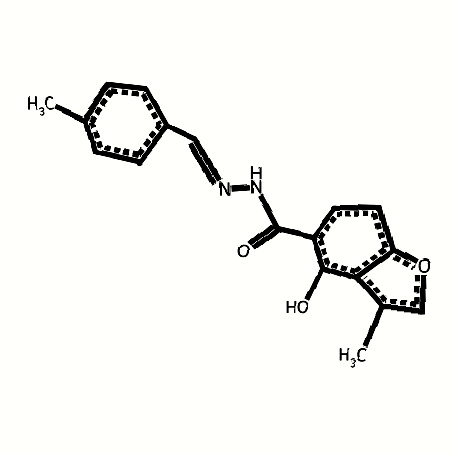 Cc1ccc(/C=N/NC(=O)c2ccc3occ(C)c3c2O)cc1